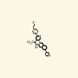 C=C(Nc1cc2cc(C3=CN=CC3)ccc2cn1)c1ccnc(N2CCN(CCF)CC2)c1